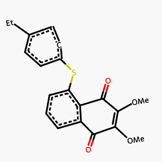 CCc1ccc(Sc2cccc3c2C(=O)C(OC)=C(OC)C3=O)cc1